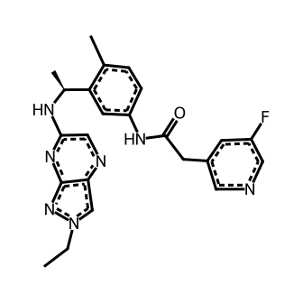 CCn1cc2ncc(N[C@@H](C)c3cc(NC(=O)Cc4cncc(F)c4)ccc3C)nc2n1